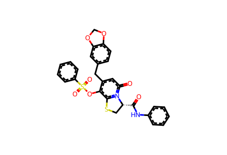 O=C(Nc1ccccc1)[C@@H]1CSc2c(OS(=O)(=O)c3ccccc3)c(Cc3ccc4c(c3)OCO4)cc(=O)n21